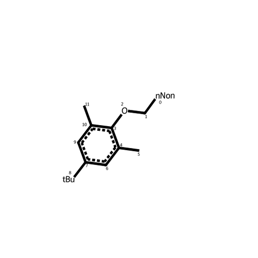 CCCCCCCCCCOc1c(C)cc(C(C)(C)C)cc1C